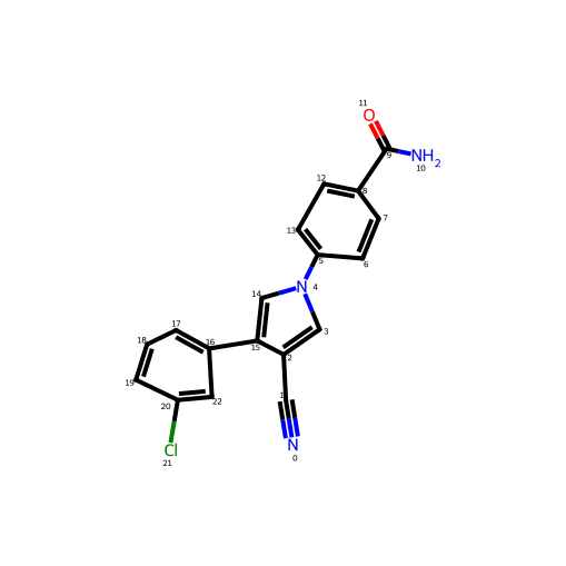 N#Cc1cn(-c2ccc(C(N)=O)cc2)cc1-c1cccc(Cl)c1